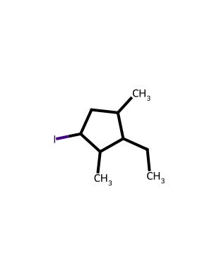 CCC1C(C)CC(I)C1C